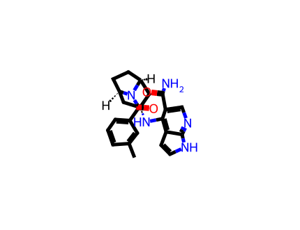 Cc1cccc(C(=O)N2[C@@H]3CC[C@H]2C[C@H](Nc2c(C(N)=O)cnc4[nH]ccc24)C3)c1